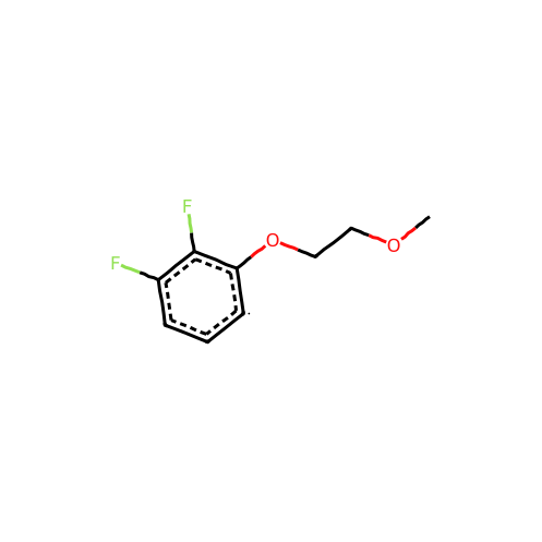 COCCOc1[c]ccc(F)c1F